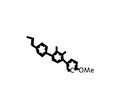 C/C=C/c1ccc(-c2ccc(-c3ccc(OC)cc3)c(C)c2C)cc1